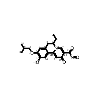 CCC1Cc2cc(OCC(C)C)c(O)cc2-c2cc(=O)c(C(=O)N=O)cn21